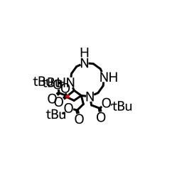 CC(C)(C)OC(=O)CC1NCCNCCNCCN(CC(=O)OC(C)(C)C)C1(CC(=O)OC(C)(C)C)CC(=O)OC(C)(C)C